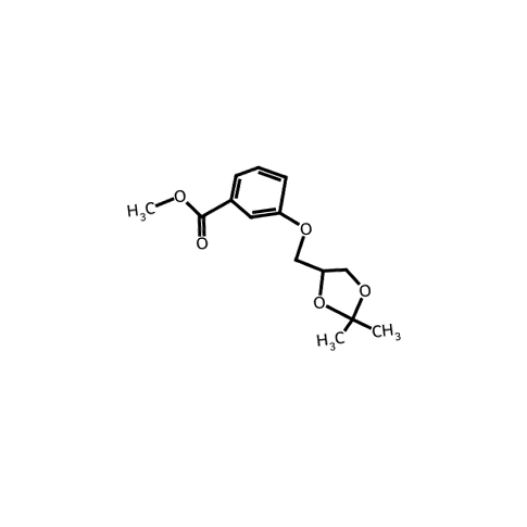 COC(=O)c1cccc(OCC2COC(C)(C)O2)c1